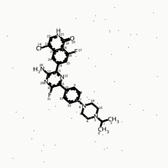 CC(C)N1CCN(c2ccc(-c3nc(-c4cc(F)c5c(=O)[nH]cc(Cl)c5c4)c(N)nc3F)cc2)CC1